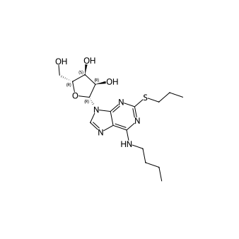 CCCCNc1nc(SCCC)nc2c1ncn2[C@@H]1O[C@H](CO)[C@@H](O)[C@H]1O